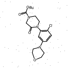 CC(C)COC(=O)N1CCN(c2cc(N3CCOCC3)ccc2Cl)C(=O)C1